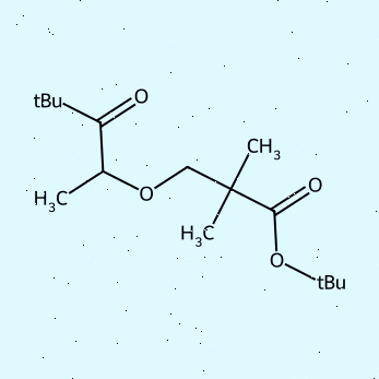 CC(OCC(C)(C)C(=O)OC(C)(C)C)C(=O)C(C)(C)C